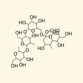 CC1OC(CO)C(O)C(O)C1OC1OC(CO)C(OC2OC(COC3(OC=O)CC(O)C(C)C(C(O)C(O)CO)O3)C(O)C(O)C2O)C(O)C1C